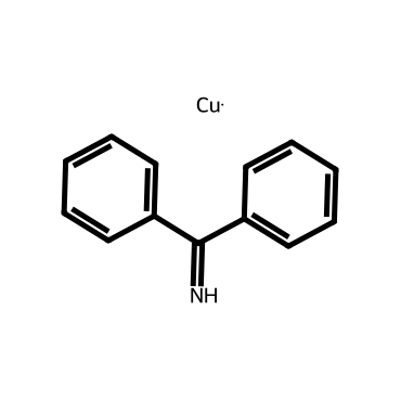 N=C(c1ccccc1)c1ccccc1.[Cu]